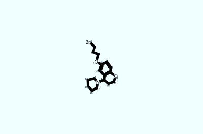 BrCCCOc1ccc2c(c1)C(N1CCCCC1)CCO2